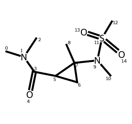 CN(C)C(=O)C1CC1(C)N(C)S(C)(=O)=O